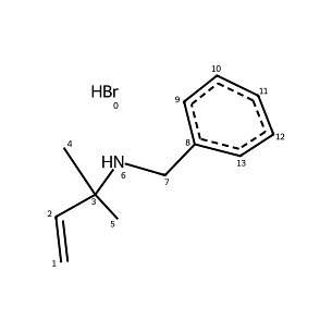 Br.C=CC(C)(C)NCc1ccccc1